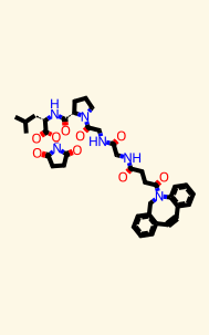 CC(C)C[C@H](NC(=O)[C@@H]1CCCN1C(=O)CNC(=O)CNC(=O)CCC(=O)N1Cc2ccccc2C#Cc2ccccc21)C(=O)ON1C(=O)CCC1=O